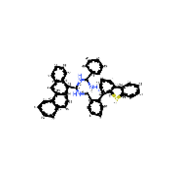 NC(NC(NCc1ccccc1-c1cccc2c1sc1ccccc12)c1c2ccccc2cc2c1ccc1ccccc12)c1ccccc1